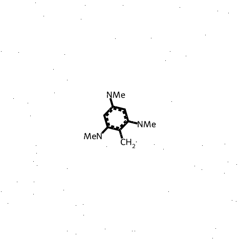 [CH2]c1c(NC)cc(NC)cc1NC